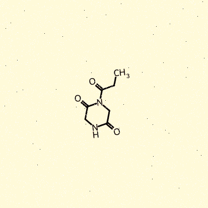 CCC(=O)N1CC(=O)NCC1=O